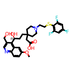 COc1ccc2ncc(CO)c([C@@H](O)CCC3(CC(=O)O)CCN(CCSc4c(F)cc(F)cc4F)CC3)c2c1